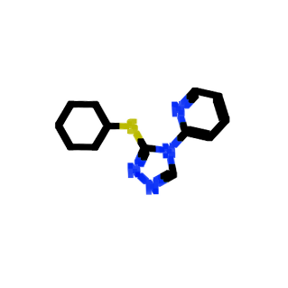 c1ccc(-n2cnnc2SC2CCCCC2)nc1